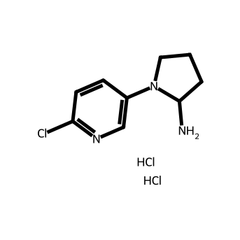 Cl.Cl.NC1CCCN1c1ccc(Cl)nc1